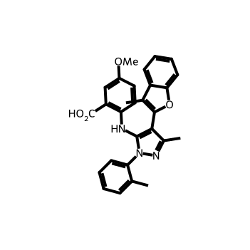 COc1ccc(Nc2c(-c3oc4ccccc4c3C)c(C)nn2-c2ccccc2C)c(C(=O)O)c1